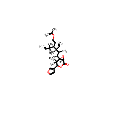 C=CC(C)(C)C(CCOC(=C)C)[C@](C)(C=C)C(C)[C@H](C)[C@@]12O[C@@H]1C(=O)OC(c1ccoc1)C2(C)C